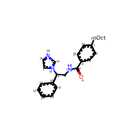 CCCCCCCCc1ccc(C(=O)NCC(c2ccccc2)n2ccnc2)cc1